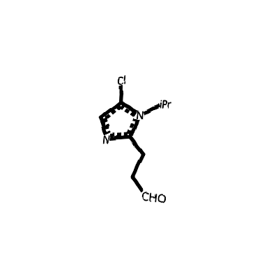 CC(C)n1c(Cl)cnc1CCC=O